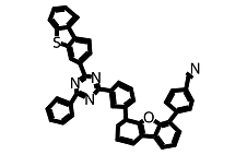 N#Cc1ccc(-c2cccc3c4c(oc23)C(c2cccc(-c3nc(-c5ccccc5)nc(-c5ccc6c(c5)sc5ccccc56)n3)c2)CC=C4)cc1